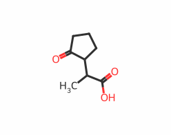 CC(C(=O)O)C1CCCC1=O